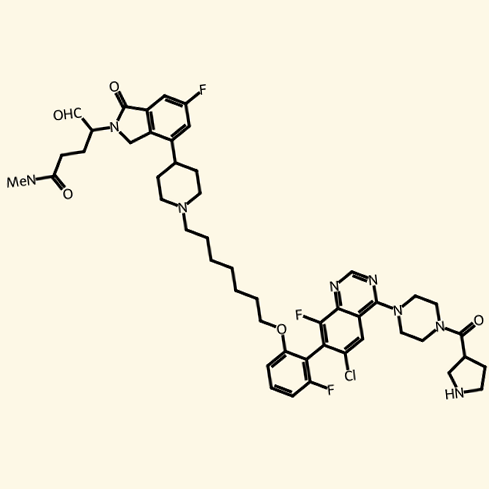 CNC(=O)CCC(C=O)N1Cc2c(cc(F)cc2C2CCN(CCCCCCCOc3cccc(F)c3-c3c(Cl)cc4c(N5CCN(C(=O)C6CCNC6)CC5)ncnc4c3F)CC2)C1=O